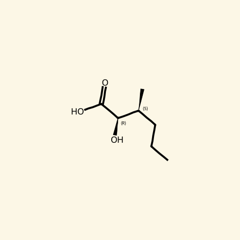 CCC[C@H](C)[C@@H](O)C(=O)O